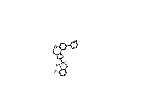 O=C(Nc1c(F)cccc1F)c1cc2c(s1)-c1cc(-c3cccnc3)ccc1OCC2